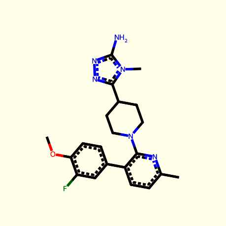 COc1ccc(-c2ccc(C)nc2N2CCC(c3nnc(N)n3C)CC2)cc1F